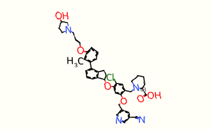 Cc1c(OCCCN2CCC(O)C2)cccc1-c1cccc2c1CCC2Oc1cc(OCc2cncc(C#N)c2)c(CN2CCCC[C@H]2C(=O)O)cc1Cl